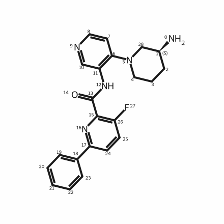 N[C@H]1CCCN(c2ccncc2NC(=O)c2nc(-c3ccccc3)ccc2F)C1